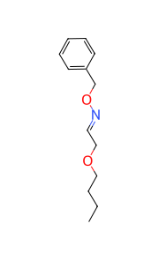 CCCCOC/C=N/OCc1ccccc1